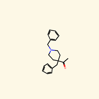 CC(=O)C1(Cc2ccccc2)CCN(Cc2ccccc2)CC1